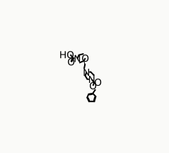 O=C(O)N1CCO[C@@H](CCN2CCN(C(=O)OCc3ccccc3)CC2)C1